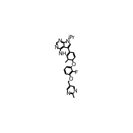 Cc1ncc(COc2cccc(OC3C=CC(c4cn(C(C)C)c5ncnc(N)c45)=CC3C)c2F)cn1